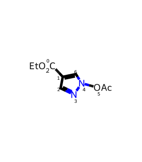 CCOC(=O)c1cnn(OC(C)=O)c1